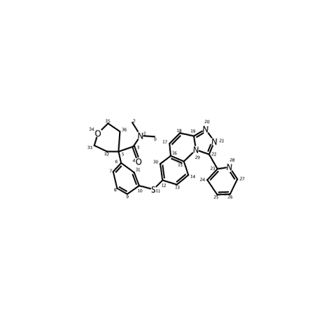 CN(C)C(=O)C1(c2cccc(Sc3ccc4c(ccc5nnc(-c6ccccn6)n54)c3)c2)CCOCC1